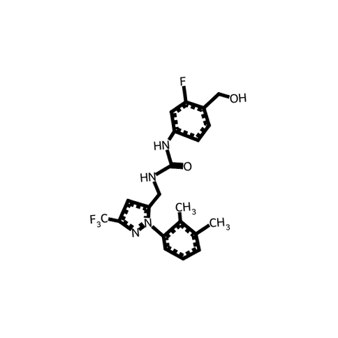 Cc1cccc(-n2nc(C(F)(F)F)cc2CNC(=O)Nc2ccc(CO)c(F)c2)c1C